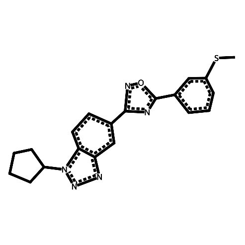 CSc1cccc(-c2nc(-c3ccc4c(c3)nnn4C3CCCC3)no2)c1